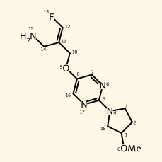 COC1CCN(c2ncc(OC/C(=C/F)CN)cn2)C1